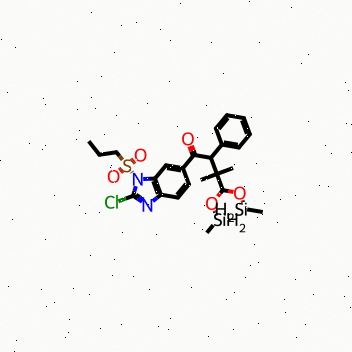 CCCS(=O)(=O)n1c(Cl)nc2ccc(C(=O)C(c3ccccc3)C(C)(C)C(O[SiH2]C)O[SiH2]C)cc21